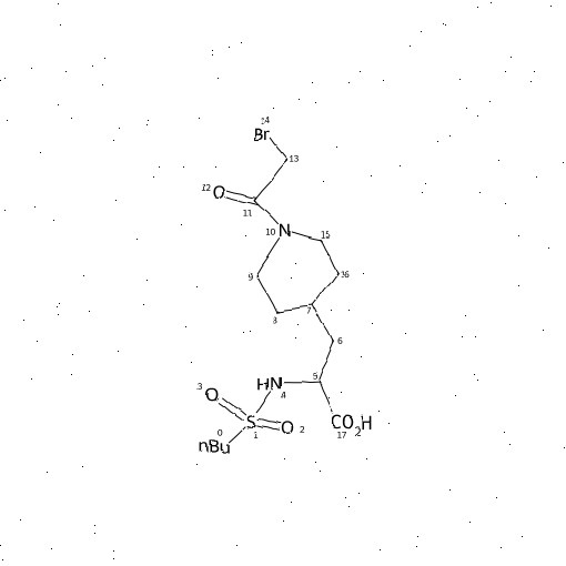 CCCCS(=O)(=O)NC(CC1CCN(C(=O)CBr)CC1)C(=O)O